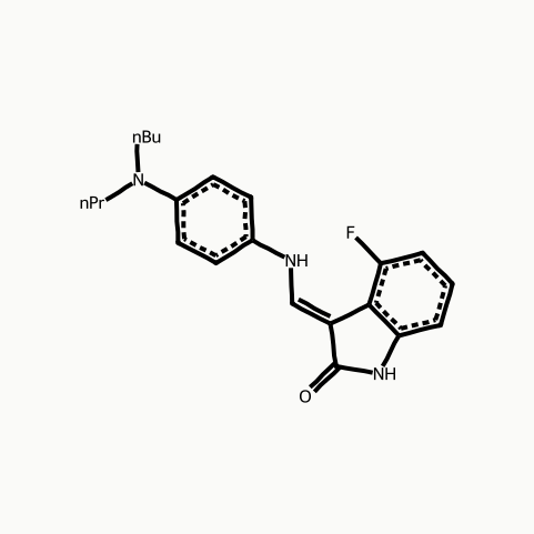 CCCCN(CCC)c1ccc(N/C=C2/C(=O)Nc3cccc(F)c32)cc1